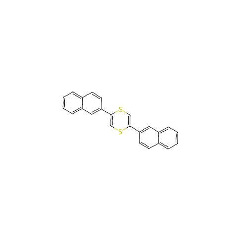 C1=C(c2ccc3ccccc3c2)SC=C(c2ccc3ccccc3c2)S1